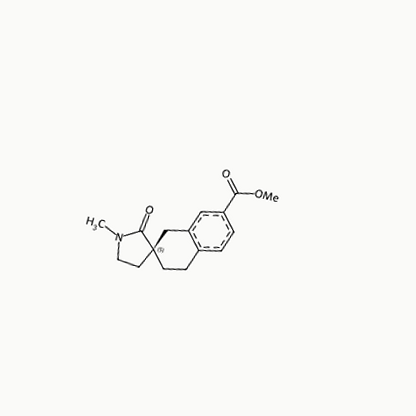 COC(=O)c1ccc2c(c1)C[C@@]1(CC2)CCN(C)C1=O